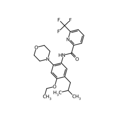 CCOc1cc(N2CCOCC2)c(NC(=O)c2cccc(C(F)(F)F)n2)cc1CC(C)C